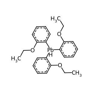 CCOc1cccc[c]1[PbH]([c]1ccccc1OCC)[c]1ccccc1OCC